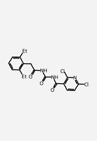 CCc1cccc(CC)c1CC(=O)NC(=O)NC(=O)c1ccc(Cl)nc1Cl